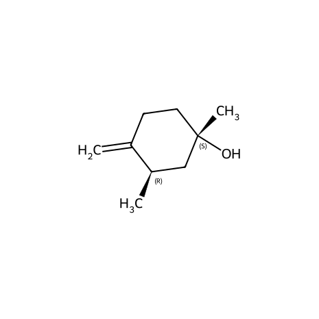 C=C1CC[C@](C)(O)C[C@H]1C